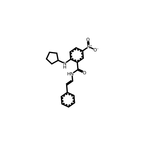 O=C(NC=Cc1ccccc1)c1cc([N+](=O)[O-])ccc1NC1CCCC1